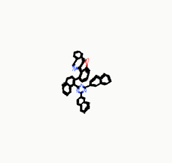 c1ccc2cc(-c3nc(-c4ccc5ccccc5c4)nc(-c4c(-c5cccc6oc7c8ccccc8cnc7c56)ccc5ccccc45)n3)ccc2c1